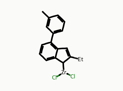 CCC1=Cc2c(-c3cccc(C)c3)cccc2[CH]1[Zr]([Cl])[Cl]